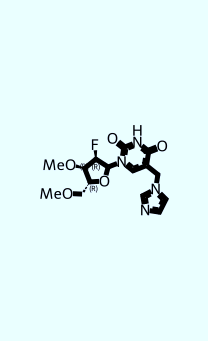 COC[C@H]1OC(n2cc(Cn3ccnc3)c(=O)[nH]c2=O)[C@H](F)[C@@H]1OC